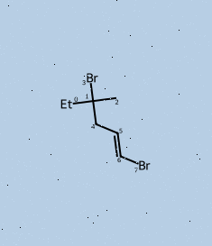 CCC(C)(Br)CC=CBr